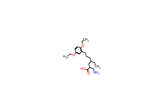 CCOc1ccc(OCC)c(CCCC(CC)CC(CN)C(=O)O)c1